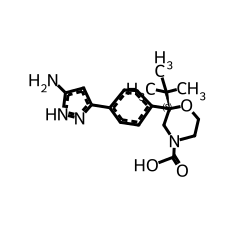 CC(C)(C)[C@]1(c2ccc(-c3cc(N)[nH]n3)cc2)CN(C(=O)O)CCO1